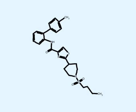 CCCCS(=O)(=O)N1CCC(c2nc(C(=O)Nc3ccccc3-c3ccc(C)cc3)cs2)CC1